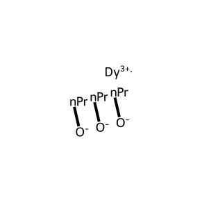 CCC[O-].CCC[O-].CCC[O-].[Dy+3]